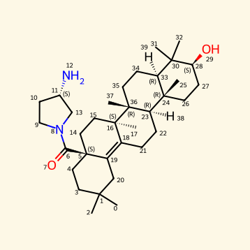 CC1(C)CC[C@]2(C(=O)N3CC[C@H](N)C3)CC[C@]3(C)C(=C2C1)CC[C@@H]1[C@@]2(C)CC[C@H](O)C(C)(C)[C@@H]2CC[C@]13C